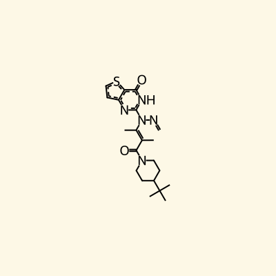 C=NN(/C(C)=C(\C)C(=O)N1CCC(C(C)(C)C)CC1)c1nc2ccsc2c(=O)[nH]1